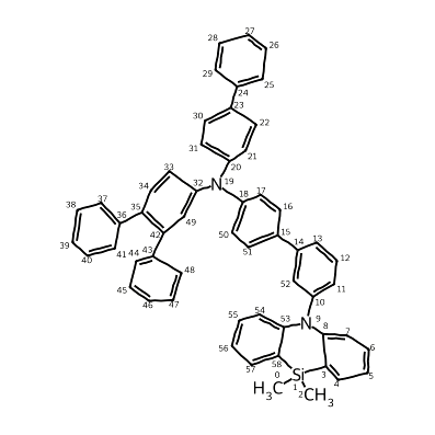 C[Si]1(C)c2ccccc2N(c2cccc(-c3ccc(N(c4ccc(-c5ccccc5)cc4)c4ccc(-c5ccccc5)c(-c5ccccc5)c4)cc3)c2)c2ccccc21